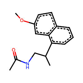 COc1ccc2cccc(C(C)CNC(C)=O)c2c1